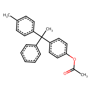 CC(=O)Oc1ccc(C(C)(c2ccccc2)c2ccc(C)cc2)cc1